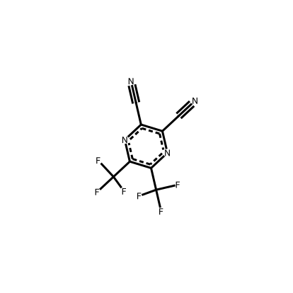 N#Cc1nc(C(F)(F)F)c(C(F)(F)F)nc1C#N